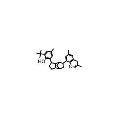 Cc1cc(CC(C)C)c(O)c(C2CC3CC2C2C(c4cc(C)cc(C(C)(C)C)c4O)CCC32)c1